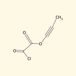 CC#COC(=O)C(=O)Cl